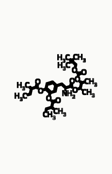 CCC(C)C(=O)Oc1ccc(C[C@H](N)C(=O)O[C@@H](C)C(C)OC(=O)OCC(C)(C)C)cc1OC(=O)C(C)CC